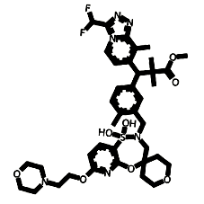 COC(=O)C(C)(C)C(c1ccc(C)c(CN2CC3(CCOCC3)Oc3nc(OCCN4CCOCC4)ccc3S2(O)O)c1)c1ccn2c(C(F)F)nnc2c1C